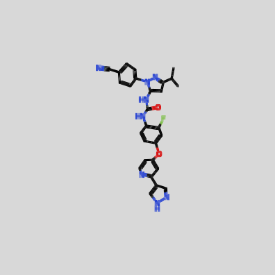 CC(C)c1cc(NC(=O)Nc2ccc(Oc3ccnc(-c4cn[nH]c4)c3)cc2F)n(-c2ccc(C#N)cc2)n1